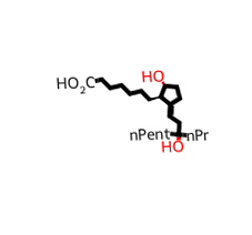 CCCCCC(O)(CC=C1CC[C@H](O)[C@@H]1CCCCCCC(=O)O)CCC